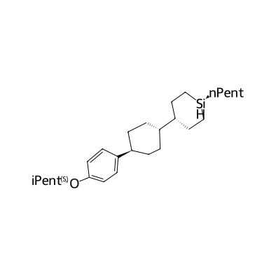 CCCCC[Si@H]1CC[C@H]([C@H]2CC[C@H](c3ccc(O[C@@H](C)CCC)cc3)CC2)CC1